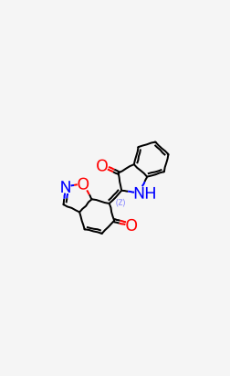 O=C1C=CC2C=NOC2/C1=C1/Nc2ccccc2C1=O